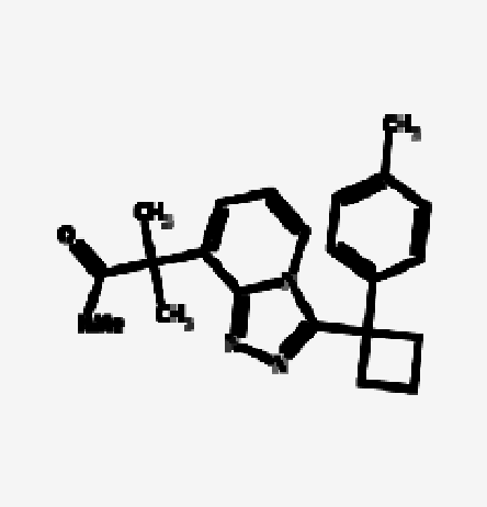 CNC(=O)C(C)(C)c1cccn2c(C3(c4ccc(C)cc4)CCC3)nnc12